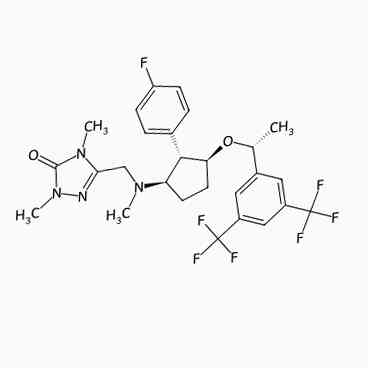 C[C@@H](O[C@H]1CC[C@@H](N(C)Cc2nn(C)c(=O)n2C)[C@@H]1c1ccc(F)cc1)c1cc(C(F)(F)F)cc(C(F)(F)F)c1